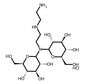 Cl.NCCNCCN(C1O[C@H](CO)[C@@H](O)[C@H](O)[C@H]1O)C1O[C@H](CO)[C@@H](O)[C@H](O)[C@H]1O